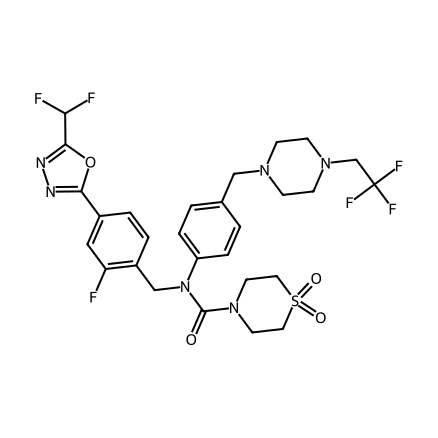 O=C(N1CCS(=O)(=O)CC1)N(Cc1ccc(-c2nnc(C(F)F)o2)cc1F)c1ccc(CN2CCN(CC(F)(F)F)CC2)cc1